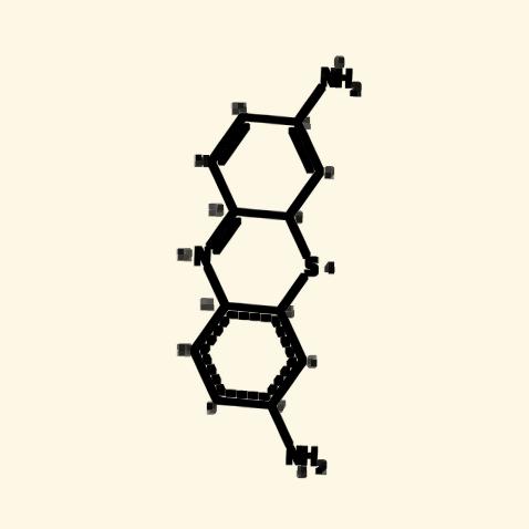 NC1=CC2Sc3cc(N)ccc3N=C2C=C1